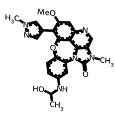 COc1cc2ncc3c4c2c(oc2ccc(NC(C)O)cc2n4c(=O)n3C)c1-c1cnn(C)c1